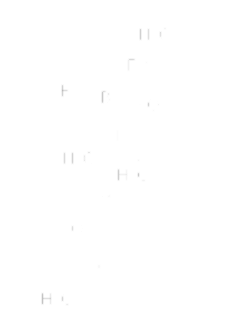 CCOCC.CCOCC.FB(F)F